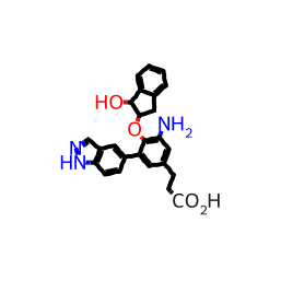 Nc1cc(CCC(=O)O)cc(-c2ccc3[nH]ncc3c2)c1OC1Cc2ccccc2C1O